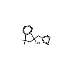 CC1(C)CC(O)(Cn2ccnc2)c2ccccc21